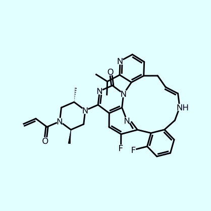 C=CC(=O)N1C[C@H](C)N(c2nc(=O)n3c4nc(c(F)cc24)-c2c(F)cccc2CN/C=C/Cc2ccnc(C(C)C)c2-3)C[C@H]1C